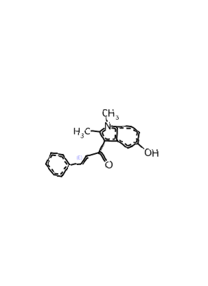 Cc1c(C(=O)/C=C/c2ccccc2)c2cc(O)ccc2n1C